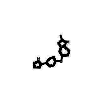 Cc1nc2cc(Oc3ccc(-c4ccn[nH]4)cc3)ccc2[nH]1